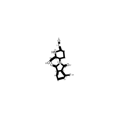 O=C=C1CCC(N2C(=O)c3cccc(F)c3C2=O)C(=C=O)N1